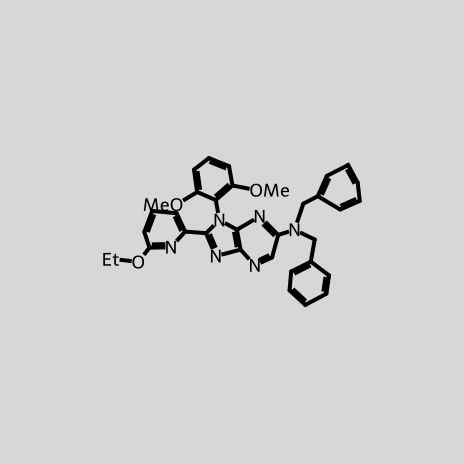 CCOc1cccc(-c2nc3ncc(N(Cc4ccccc4)Cc4ccccc4)nc3n2-c2c(OC)cccc2OC)n1